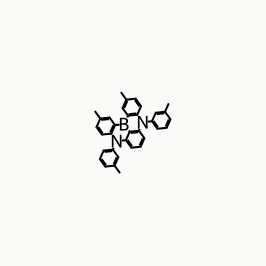 Cc1cccc(N2c3ccc(C)cc3B3c4cc(C)ccc4N(c4cccc(C)c4)c4cccc2c43)c1